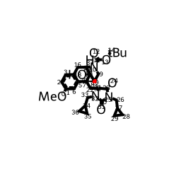 COc1ccc2c(c1)[C@]13CCN(C(=O)OC(C)(C)C)[C@H](C2)[C@]1(O)CC[C@]1(C3)C(=O)N(CC2CC2)C(=O)N1CC1CC1